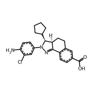 Nc1ccc(N2N=C3c4ccc(C(=O)O)cc4CC[C@@H]3[C@@H]2C2CCCC2)cc1Cl